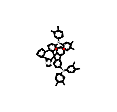 Cc1ccc(N(c2ccc(C)c(C)c2)c2ccc3c(c2)-c2ccccc2C32c3ccccc3-c3ccccc3-c3ccc(N(c4ccc(C)c(C)c4)c4ccc(C)c(C)c4)cc32)cc1C